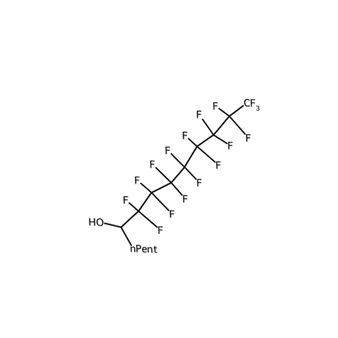 CCCCCC(O)C(F)(F)C(F)(F)C(F)(F)C(F)(F)C(F)(F)C(F)(F)C(F)(F)C(F)(F)F